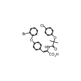 CC(C)(Oc1ccc(Cl)cc1)C(=O)N/C(=C\c1ccc(Oc2ccccc2Br)cc1)C(=O)O